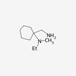 CCN(C)C1(CN)CCCCC1